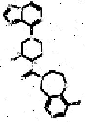 O=C([C@H]1CCN(c2nccn3ncnc23)C[C@@H]1F)N1CCOc2c(F)cncc2C1